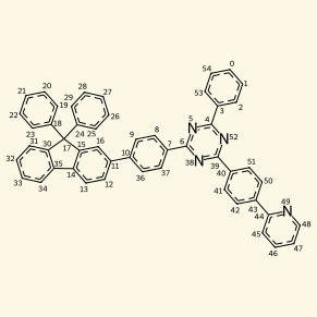 c1ccc(-c2nc(-c3ccc(-c4ccc5c(c4)C(c4ccccc4)(c4ccccc4)c4ccccc4-5)cc3)nc(-c3ccc(-c4ccccn4)cc3)n2)cc1